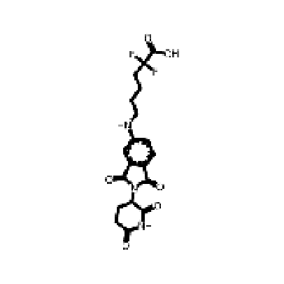 O=C1CCC(N2C(=O)c3ccc(NCCCCC(F)(F)C(=O)O)cc3C2=O)C(=O)N1